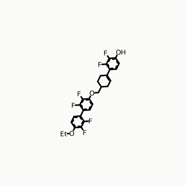 CCOc1ccc(-c2ccc(OCC3CC=C(c4ccc(O)c(F)c4F)CC3)c(F)c2F)c(F)c1F